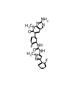 Cn1nc(-c2ccccc2F)cc1NC(=O)Nc1cc(-c2cc3cnc(N)nc3n(C)c2=O)ccc1F